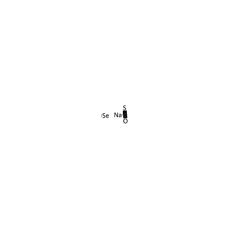 O=S.[Na].[Se]